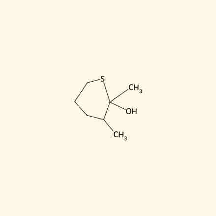 CC1CCCSC1(C)O